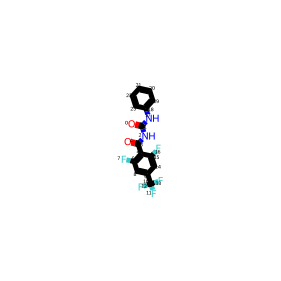 O=C(NC(=O)c1c(F)cc(C(F)(F)F)cc1F)Nc1ccccc1